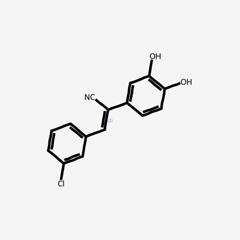 N#C/C(=C\c1cccc(Cl)c1)c1ccc(O)c(O)c1